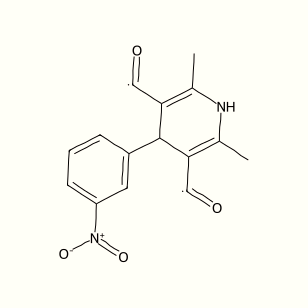 CC1=C([C]=O)C(c2cccc([N+](=O)[O-])c2)C([C]=O)=C(C)N1